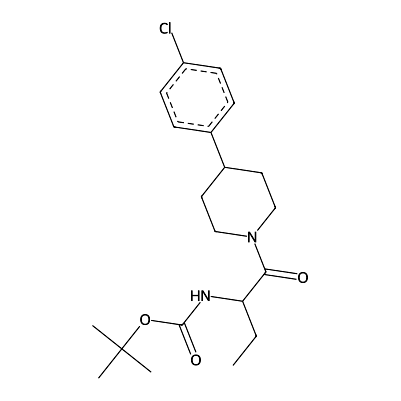 CCC(NC(=O)OC(C)(C)C)C(=O)N1CCC(c2ccc(Cl)cc2)CC1